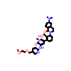 COCCOCc1ccc(Nc2cc(-c3cccc(N4CCc5cc(N(C)C)ccc5C4=O)c3CO)cn(C)c2=O)nc1